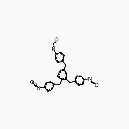 O=C=Nc1ccc(Cc2ccc(Cc3ccc(N=C=O)cc3)c(Cc3ccc(N=C=O)cc3)c2)cc1